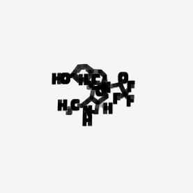 CC1NC[C@@H]2CC3(C)C4Cc5ccc(O)cc5C3(CCN4C(=O)C(F)(F)F)C12